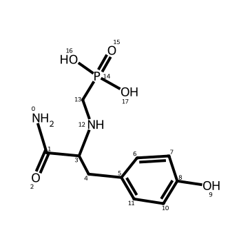 NC(=O)C(Cc1ccc(O)cc1)NCP(=O)(O)O